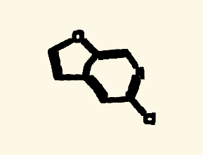 Clc1cc2ccoc2cn1